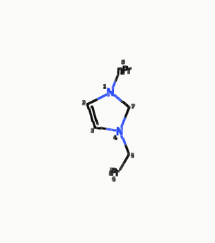 CCCN1C=CN(CC(C)C)C1